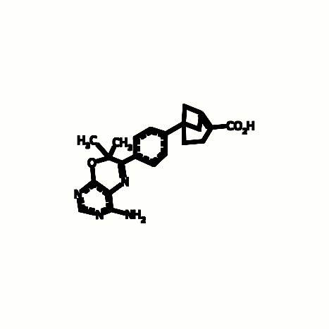 CC1(C)Oc2ncnc(N)c2N=C1c1ccc(C23CCC(C(=O)O)=C(C2)C3)cc1